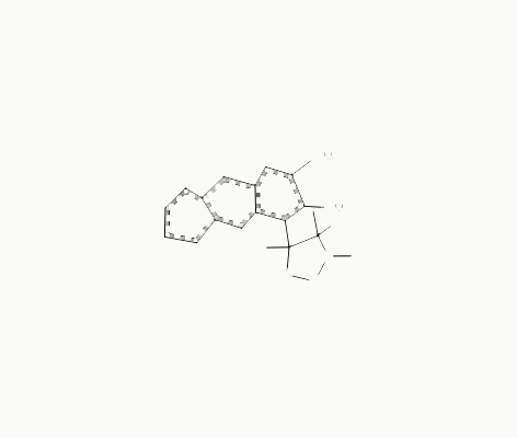 COc1cc2cc3ccccc3cc2c(C2(C)OOB(C)C2(C)C)c1OC